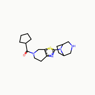 O=C(C1CCCC1)N1CCc2nc(N3C4CCC3CNC4)sc2C1